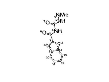 CNNC(=O)NC(=O)c1nc2ccccc2s1